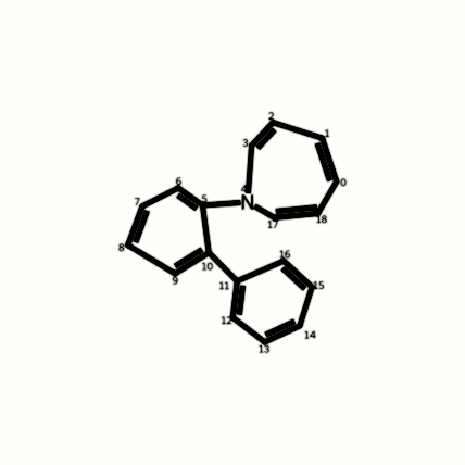 C1=CC=CN(c2ccccc2-c2ccccc2)C=C1